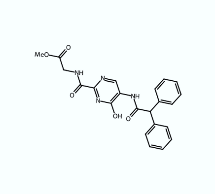 COC(=O)CNC(=O)c1ncc(NC(=O)C(c2ccccc2)c2ccccc2)c(O)n1